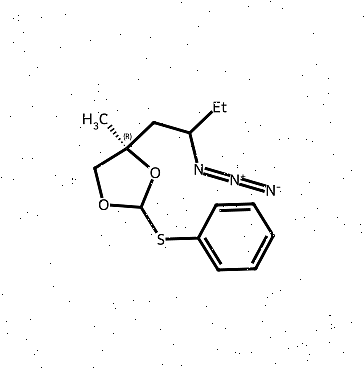 CCC(C[C@]1(C)COC(Sc2ccccc2)O1)N=[N+]=[N-]